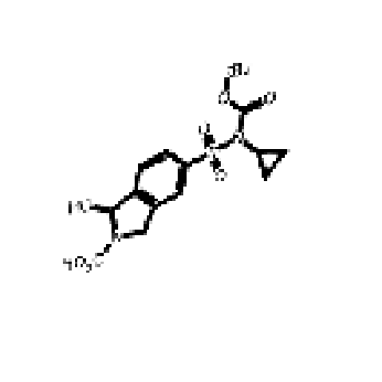 CC(C)(C)OC(=O)N(C1CC1)S(=O)(=O)c1ccc2c(c1)CN(C(=O)O)C2O